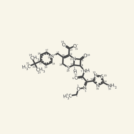 CCO/N=C(\C(=O)NC1C(=O)N2C(C(=O)[O-])=C(C[n+]3ccc(C(C)(C)C)cc3)CS[C@H]12)c1nsc(N)n1